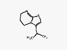 CC(C)C1=CSC2=NCCCN12